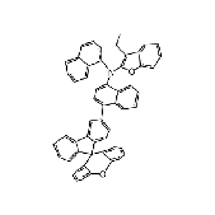 CCc1c(N(c2cccc3ccccc23)c2ccc(-c3ccc4c(c3)-c3ccccc3C43c4ccccc4Oc4ccccc43)c3ccccc23)oc2ccccc12